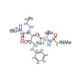 CC[C@H](C)[C@H](NC(=O)CNC)C(=O)NC(Cc1ccccc1)C(O)CN(CCC(C)C)C(=O)NC(C)(C)C